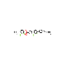 CCCc1ccc(-c2ccc(C3CCC(C(=O)Oc4ccc(C)c(F)c4F)CC3)c(F)c2F)cc1